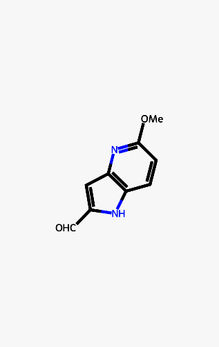 COc1ccc2[nH]c(C=O)cc2n1